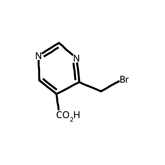 O=C(O)c1cncnc1CBr